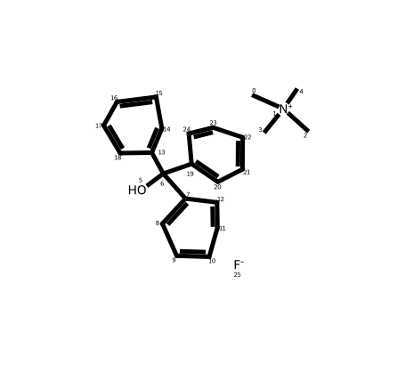 C[N+](C)(C)C.OC(c1ccccc1)(c1ccccc1)c1ccccc1.[F-]